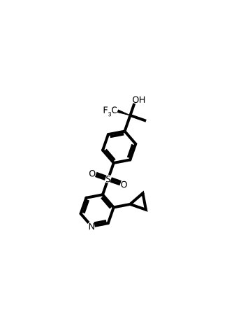 C[C@@](O)(c1ccc(S(=O)(=O)c2ccncc2C2CC2)cc1)C(F)(F)F